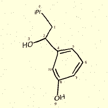 CC(C)CC(O)c1cccc(O)c1